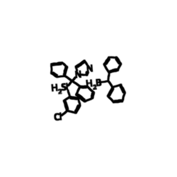 BC(c1ccccc1)c1ccccc1.Clc1cccc([SiH2]C(c2ccccc2)(c2ccccc2)n2ccnc2)c1